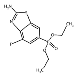 CCOP(=O)(OCC)c1cc(F)c2nc(N)sc2c1